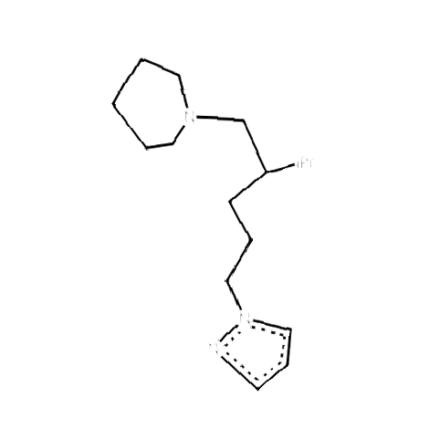 CC(C)C(CCCn1cccn1)CN1CCCCC1